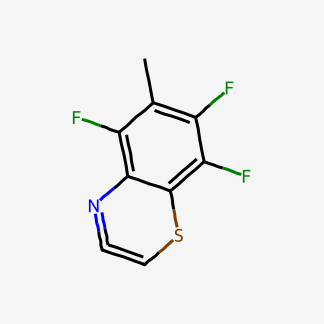 Cc1c(F)c(F)c2c(c1F)N=C=CS2